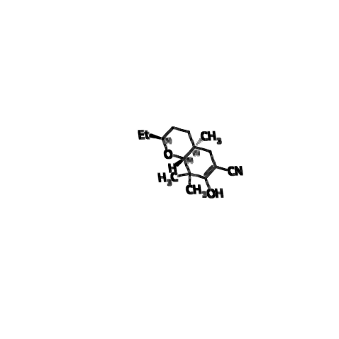 CC[C@H]1CC[C@@]2(C)CC(C#N)=C(O)C(C)(C)[C@@H]2O1